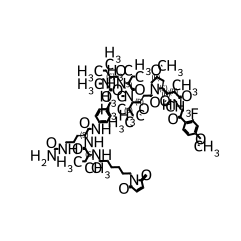 CC[C@H](C)C([C@@H](CC(=O)N1C[C@H](OC)C[C@H]1[C@H](OC)[C@@H](C)C(=O)NCC(=O)c1ccc(OC)cc1F)OC)N(C)C(=O)[C@@H](NC(=O)[C@H](C(C)C)N(C)C(=O)OCc1ccc(NC(=O)[C@H](CCCNC(N)=O)NC(=O)[C@@H](NC(=O)CCCCCN2C(=O)C=CC2=O)C(C)C)cc1)C(C)C